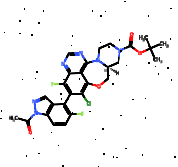 CC(=O)n1ncc2c(-c3c(Cl)c4c5c(ncnc5c3F)N3CCN(C(=O)OC(C)(C)C)C[C@H]3CO4)c(F)ccc21